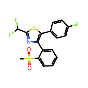 CS(=O)(=O)c1ccccc1-c1nc(C(F)F)sc1-c1ccc(F)cc1